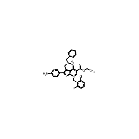 CCOC(=O)c1cn(Cc2c(F)cccc2Cl)c2sc(-c3ccc(N)cc3)c(CN(C)Cc3ccccc3)c2c1=O